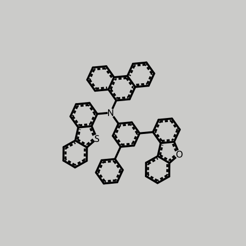 c1ccc(-c2cc(-c3cccc4oc5ccccc5c34)cc(N(c3cc4ccccc4c4ccccc34)c3cccc4c3sc3ccccc34)c2)cc1